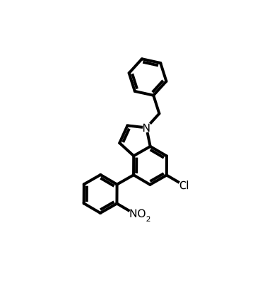 O=[N+]([O-])c1ccccc1-c1cc(Cl)cc2c1ccn2Cc1ccccc1